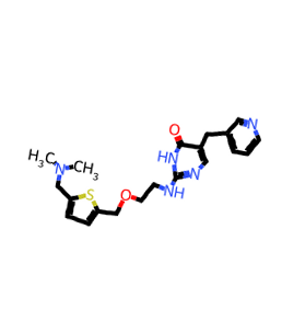 CN(C)Cc1ccc(COCCNc2ncc(Cc3cccnc3)c(=O)[nH]2)s1